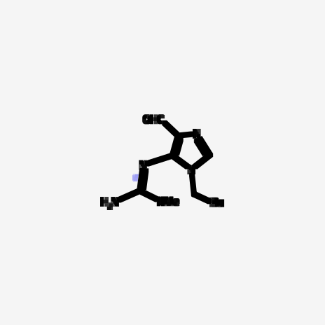 CCC(C)Cn1cnc(C=O)c1/N=C(/N)NC